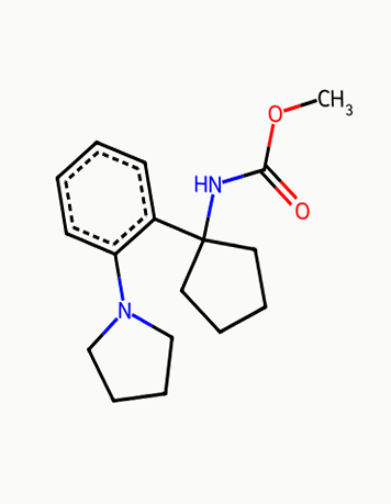 COC(=O)NC1(c2ccccc2N2CCCC2)CCCC1